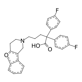 O=C(O)C(CCCN1CCc2oc3ccccc3c2C1)(c1ccc(F)cc1)c1ccc(F)cc1